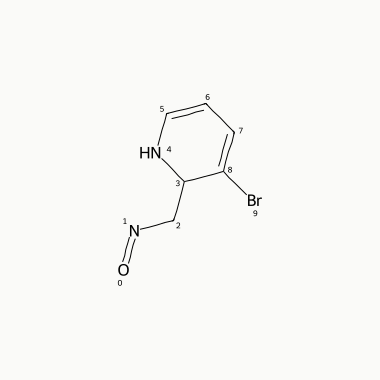 O=NCC1NC=CC=C1Br